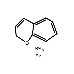 C1=Cc2ccccc2OC1.N.[Fe]